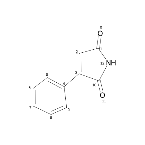 O=C1[C]=C(c2ccccc2)C(=O)N1